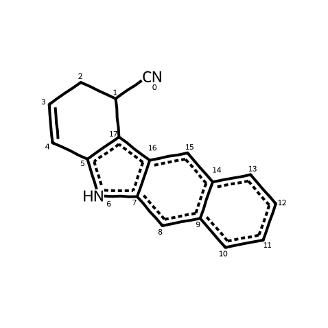 N#CC1CC=Cc2[nH]c3cc4ccccc4cc3c21